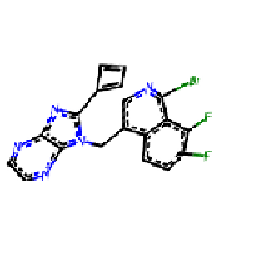 Fc1ccc2c(Cn3c(C4=CC=C4)nc4nccnc43)cnc(Br)c2c1F